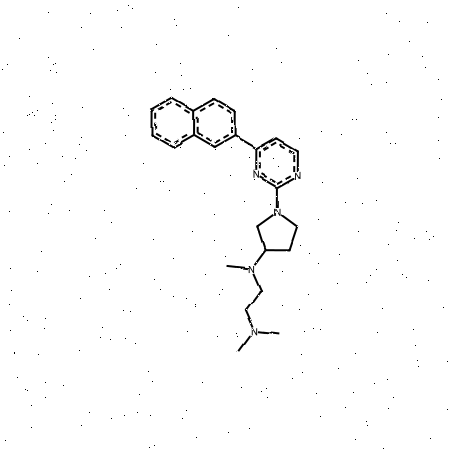 CN(C)CCN(C)C1CCN(c2nccc(-c3ccc4ccccc4c3)n2)C1